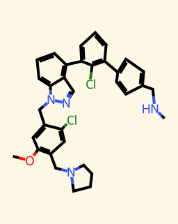 CNCc1ccc(-c2cccc(-c3cccc4c3cnn4Cc3cc(OC)c(CN4CCCC4)cc3Cl)c2Cl)cc1